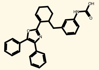 O=C(O)Nc1cccc(CC2CCCC=C2c2nc(-c3ccccc3)c(-c3ccccc3)o2)c1